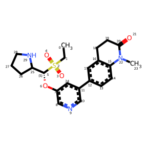 CCS(=O)(=O)[C@H](Oc1cncc(-c2ccc3c(c2)CCC(=O)N3C)c1)C1CCCN1